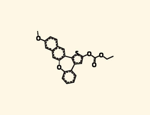 CCOC(=O)Oc1cc2c(s1)-c1cc3ccc(OC)cc3cc1Oc1ccccc1-2